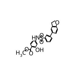 COC(=O)c1ccc(NS(=O)(=O)c2cccc(-c3ccc4c(c3)CCO4)c2)cc1O